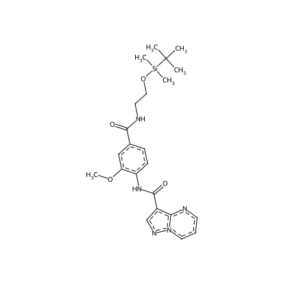 COc1cc(C(=O)NCCO[Si](C)(C)C(C)(C)C)ccc1NC(=O)c1cnn2cccnc12